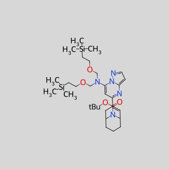 CC(C)(C)OC(=O)N1C2C=C(c3cc(N(COCC[Si](C)(C)C)COCC[Si](C)(C)C)n4nccc4n3)CC1CCC2